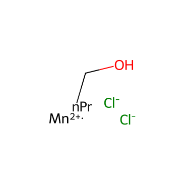 CCCCO.[Cl-].[Cl-].[Mn+2]